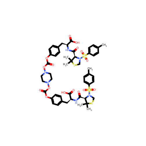 Cc1ccc(S(=O)(=O)N2CSC(C)(C)[C@H]2C(=O)N[C@@H](Cc2ccc(OC(=O)ON3CCN(OC(=O)Oc4ccc(C[C@H](NC(=O)[C@H]5N(S(=O)(=O)c6ccc(C)cc6)CSC5(C)C)C(=O)O)cc4)CC3)cc2)C(=O)O)cc1